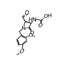 COc1ccc(CN2C(=O)C(NC(=O)O)C2C=O)c(OC)c1